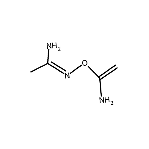 C=C(N)O/N=C(/C)N